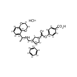 CC(NC[C@H]1CN(C(=O)Oc2ccc(C(=O)O)cc2)C[C@@H]1c1ccccc1)c1cccc2c1OCCO2.Cl